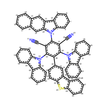 N#Cc1c(-n2c3ccccc3c3cc4ccccc4cc32)c(C#N)c(-n2c3ccccc3c3ccccc32)c(-c2ccc3sc4ccccc4c3c2)c1-n1c2ccccc2c2ccccc21